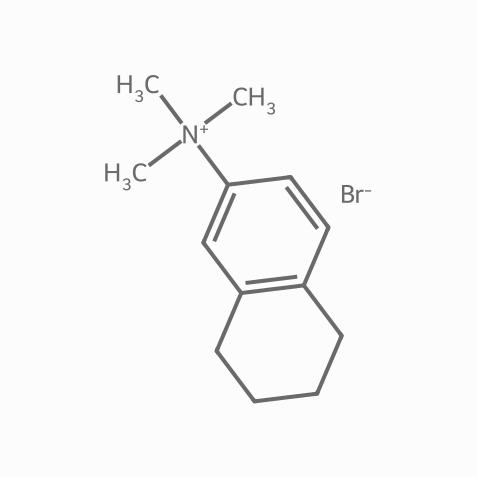 C[N+](C)(C)c1ccc2c(c1)CCCC2.[Br-]